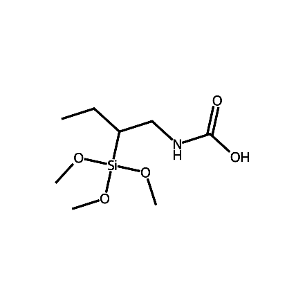 CCC(CNC(=O)O)[Si](OC)(OC)OC